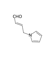 O=C/C=C/Cn1cccc1